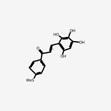 CSc1ccc(C(=O)/C=C/c2c(O)cc(O)c(O)c2O)cc1